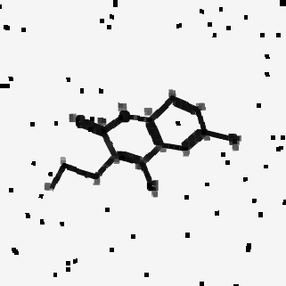 CCCc1c(Cl)c2cc(Br)ccc2oc1=O